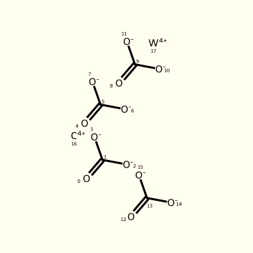 O=C([O-])[O-].O=C([O-])[O-].O=C([O-])[O-].O=C([O-])[O-].[C+4].[W+4]